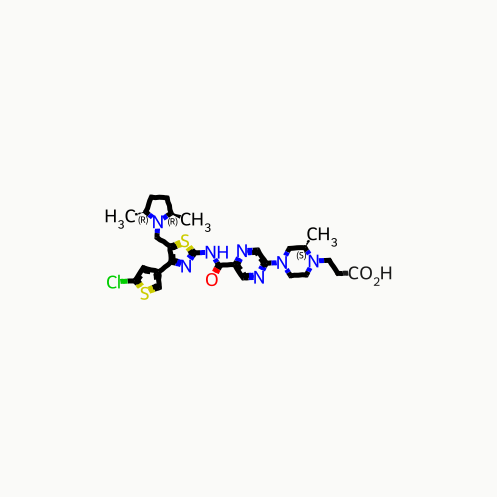 C[C@@H]1CC[C@@H](C)N1Cc1sc(NC(=O)c2cnc(N3CCN(CCC(=O)O)[C@@H](C)C3)cn2)nc1-c1csc(Cl)c1